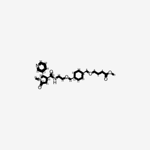 COC(=O)CCCOC[C@H]1CC[C@@H](COCCNC(=O)[C@H]2CC(=O)N(C)[C@@H]2c2cccnc2)CC1